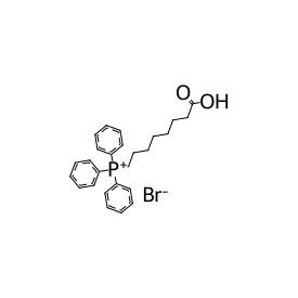 O=C(O)CCCCCCC[P+](c1ccccc1)(c1ccccc1)c1ccccc1.[Br-]